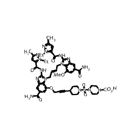 CCn1nc(C)cc1C(=O)Nc1nc2cc(C(N)=O)cc(OC)c2n1C/C=C/Cn1c(NC(=O)c2cc(C)nn2CC)nc2cc(C(N)=O)cc(OCC#CC3CCN(S(=O)(=O)N4CCN(C(=O)O)CC4)CC3)c21